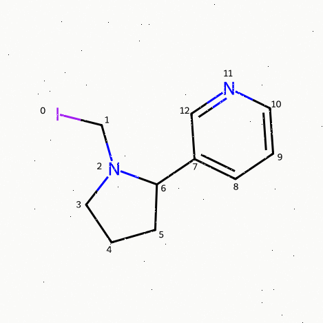 ICN1CCCC1c1cccnc1